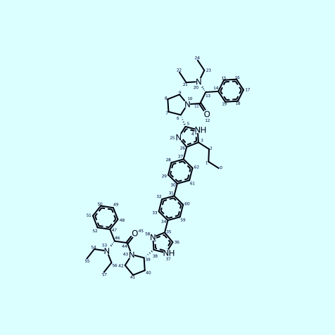 CCCc1[nH]c([C@@H]2CCCN2C(=O)[C@@H](c2ccccc2)N(CC)CC)nc1-c1ccc(-c2ccc(-c3c[nH]c([C@@H]4CCCN4C(=O)[C@@H](c4ccccc4)N(CC)CC)n3)cc2)cc1